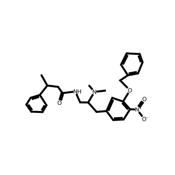 CC(CC(=O)NCC(Cc1ccc([N+](=O)[O-])c(OCc2ccccc2)c1)N(C)C)c1ccccc1